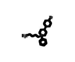 CCCCC[Si@]1(c2ccccc2)CC[C@H](C2CCC(Br)CC2)CC1